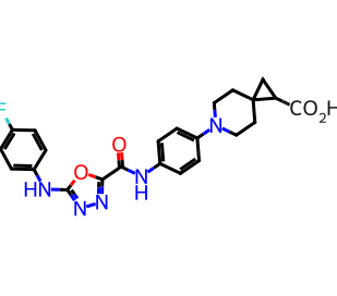 O=C(Nc1ccc(N2CCC3(CC2)CC3C(=O)O)cc1)c1nnc(Nc2ccc(F)cc2)o1